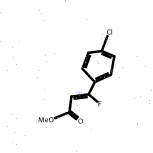 COC(=O)/C=C(\F)c1ccc(Cl)cc1